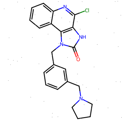 O=c1[nH]c2c(Cl)nc3ccccc3c2n1Cc1cccc(CN2CCCC2)c1